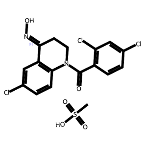 CS(=O)(=O)O.O=C(c1ccc(Cl)cc1Cl)N1CC/C(=N\O)c2cc(Cl)ccc21